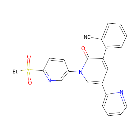 CCS(=O)(=O)c1ccc(-n2cc(-c3ccccn3)cc(-c3ccccc3C#N)c2=O)cn1